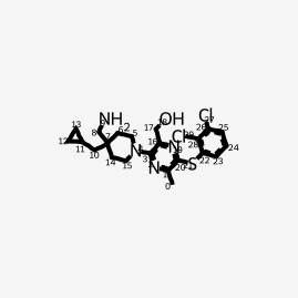 Cc1nc(N2CCC(CN)(CC3CC3)CC2)c(CO)nc1Sc1cccc(Cl)c1Cl